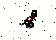 Cc1nc(=O)n(CC(F)CN2C3CCC2CC(OCc2ccccc2)C3)c(=O)n1C